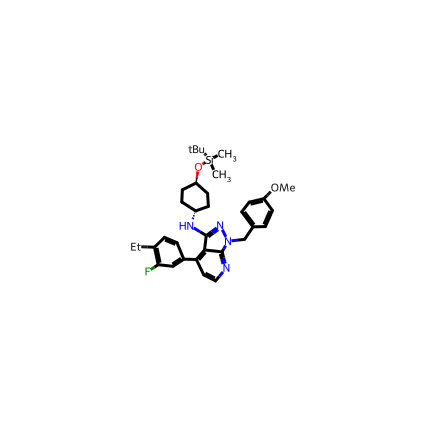 CCc1ccc(-c2ccnc3c2c(N[C@H]2CC[C@H](O[Si](C)(C)C(C)(C)C)CC2)nn3Cc2ccc(OC)cc2)cc1F